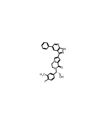 Cc1cc([C@@H](CO)N2CCn3cc(-c4n[nH]c5ncc(-c6ccccc6)cc45)cc3C2=O)ccc1F